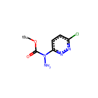 CC(C)(C)OC(=O)N(N)c1ccc(Cl)nn1